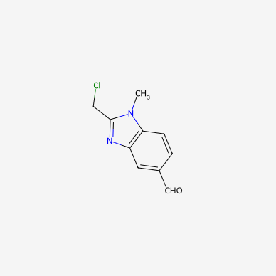 Cn1c(CCl)nc2cc(C=O)ccc21